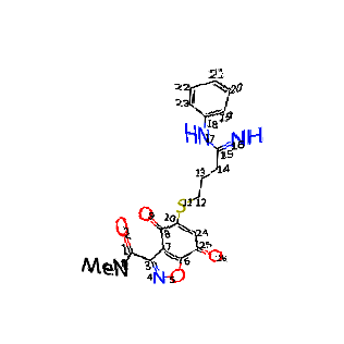 CNC(=O)c1noc2c1C(=O)C(SCCCC(=N)Nc1ccccc1)=CC2=O